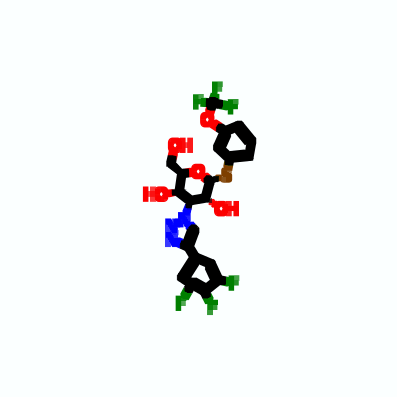 OC[C@H]1O[C@H](Sc2cccc(OC(F)(F)F)c2)[C@H](O)[C@@H](n2cc(-c3cc(F)c(F)c(F)c3)nn2)[C@H]1O